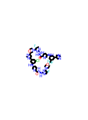 O=C(NNc1ncc(F)c(N2CCOCC2)n1)c1ccc(Nc2cc(Cl)cc(-c3cc(C4CN(c5nc(NNC(=O)c6ccc(Nc7cc(-c8cncnc8)cc(C(F)(F)F)c7)cn6)ncc5F)CCO4)ncn3)c2)cn1